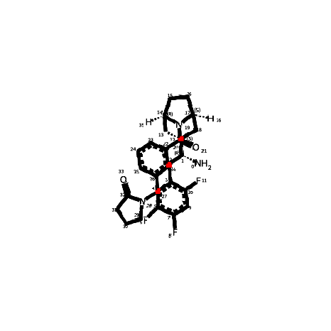 N[C@H](Cc1cc(F)c(F)cc1F)[C@@H]1C[C@H]2CC[C@@H](C1)N2C(=O)c1cccc(CN2CCCC2=O)c1